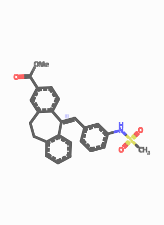 COC(=O)c1ccc2c(c1)CCc1ccccc1/C2=C\c1cccc(NS(C)(=O)=O)c1